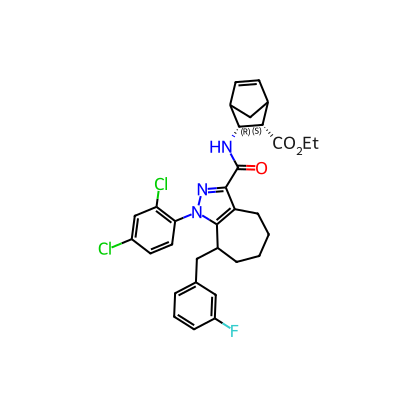 CCOC(=O)[C@H]1C2C=CC(C2)[C@H]1NC(=O)c1nn(-c2ccc(Cl)cc2Cl)c2c1CCCCC2Cc1cccc(F)c1